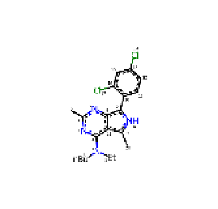 CCCCN(CC)c1nc(C)nc2c(-c3ccc(Cl)cc3Cl)[nH]c(C)c12